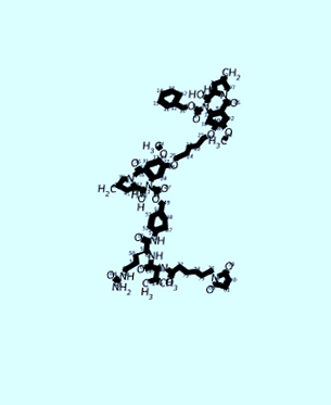 C=C1C[C@H]2C(O)N(C(=O)OCc3ccccc3)c3cc(OCCCCCOc4cc5c(cc4OC)C(=O)N4CC(=C)C[C@H]4C(O)N5C(=O)OCc4ccc(NC(=O)[C@H](CCCNC(N)=O)NC(=O)[C@@H](NC(=O)CCCCCN5C(=O)C=CC5=O)C(C)C)cc4)c(OC)cc3C(=O)N2C1